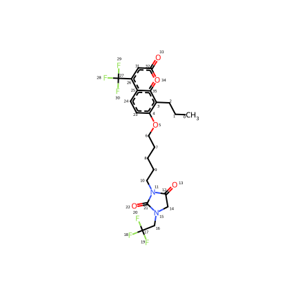 CCCc1c(OCCCCCN2C(=O)CN(CC(F)(F)F)C2=O)ccc2c(C(F)(F)F)cc(=O)oc12